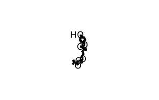 C=C(C)C(=O)OC(C)OCCCC(=C)C(=O)Oc1ccc(O)cc1